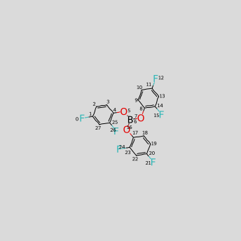 Fc1ccc(OB(Oc2ccc(F)cc2F)Oc2ccc(F)cc2F)c(F)c1